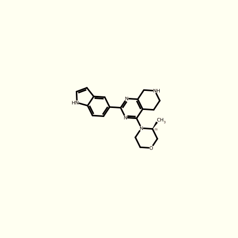 C[C@H]1COCCN1c1nc(-c2ccc3[nH]ccc3c2)nc2c1CCNC2